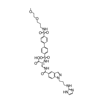 COCCOCCCNS(=O)(=O)c1ccc(-c2ccc(S(=O)(=O)N[C@@H](CNC(=O)c3ccc4c(cnn4CCCNc4ncc[nH]4)c3)C(=O)O)cc2)cc1